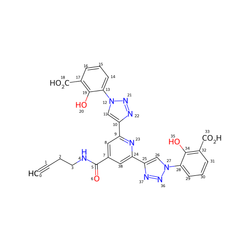 C#CCCNC(=O)c1cc(-c2cn(-c3cccc(C(=O)O)c3O)nn2)nc(-c2cn(-c3cccc(C(=O)O)c3O)nn2)c1